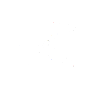 N#Cc1c(OCCN)c(OCCN)cc2sc(S(=O)(=O)NCP(=O)(O)Oc3ccccc3)c(C(F)(F)F)c12.O=C(O)C(F)(F)F.O=C(O)C(F)(F)F